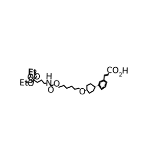 CCO[Si](CCCNC(=O)OCCCCCCO[C@H]1CC[C@H](c2cccc(/C=C/C(=O)O)c2)CC1)(OCC)OCC